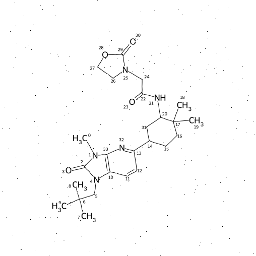 Cn1c(=O)n(CC(C)(C)C)c2ccc(C3CCC(C)(C)C(NC(=O)CN4CCOC4=O)C3)nc21